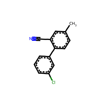 Cc1ccc(-c2cccc(Cl)c2)c(C#N)c1